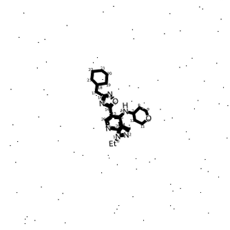 CCn1ncc2c(NC3CCOCC3)c(-c3nc(CC4CCCCC4)no3)cnc21